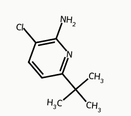 CC(C)(C)c1ccc(Cl)c(N)n1